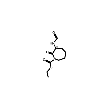 CCOC(=O)N1CCCC[C@H](N[C]=O)C1=O